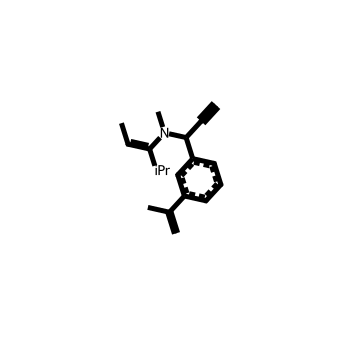 C#CC(c1cccc(C(=C)C)c1)N(C)/C(=C\C)C(C)C